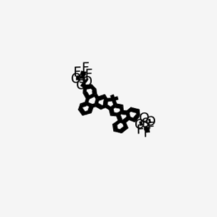 CC1(C)c2cc3c4ccc(OS(=O)(=O)C(F)(F)F)cc4c4ccccc4c3cc2-c2cc3c4ccccc4c4cc(OS(=O)(=O)C(F)(F)F)ccc4c3cc21